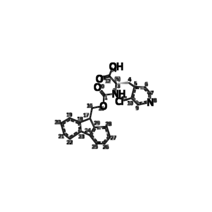 O=C(N[C@@H](Cc1ccncc1Cl)C(=O)O)OCC1c2ccccc2-c2ccccc21